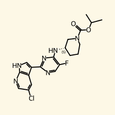 CC(C)OC(=O)N1CCC[C@H](Nc2nc(-c3c[nH]c4ncc(Cl)cc34)ncc2F)C1